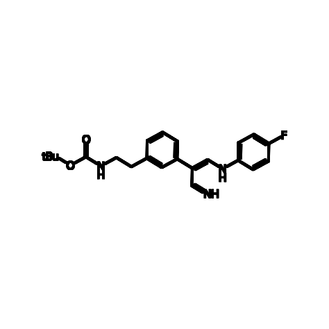 CC(C)(C)OC(=O)NCCc1cccc(/C(C=N)=C/Nc2ccc(F)cc2)c1